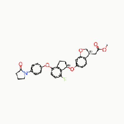 COC(=O)C[C@@H]1COc2cc(O[C@@H]3CCc4c(Oc5ccc(N6CCCC6=O)cc5)ccc(F)c43)ccc21